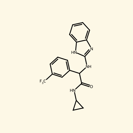 O=C(NC1CC1)C(Nc1nc2ccccc2[nH]1)c1cccc(C(F)(F)F)c1